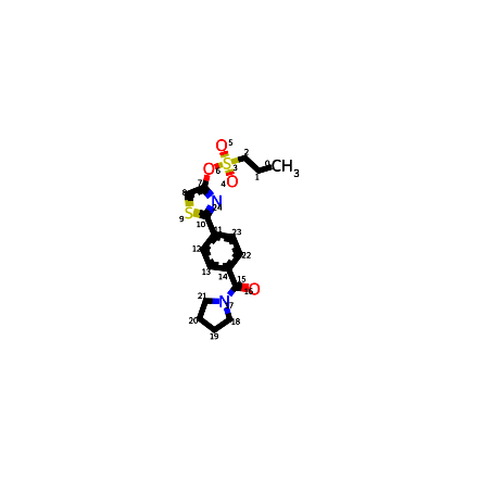 CCCS(=O)(=O)Oc1csc(-c2ccc(C(=O)N3CCCC3)cc2)n1